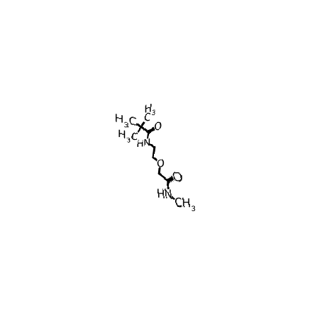 CNC(=O)COCCNC(=O)C(C)(C)C